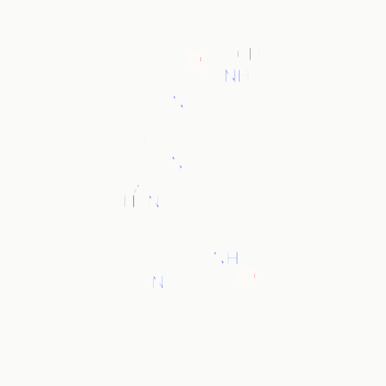 CNC(=O)c1ccc(N2CCN(Cc3cnc4c5c(c(=O)[nH]c4c3)CCC5)[C@@H]3CC[C@H]32)cn1